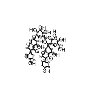 O=c1c(-c2ccc(O)cc2)coc2cc(O[C@@H]3O[C@H](CO)[C@@H](O)[C@H](O)[C@H]3O)cc(O)c12.O=c1c(-c2ccc(O)cc2)coc2cc(O[C@@H]3O[C@H](CO)[C@@H](O)[C@H](O)[C@H]3O)cc(O)c12